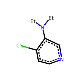 CCN(CC)c1[c]nccc1Cl